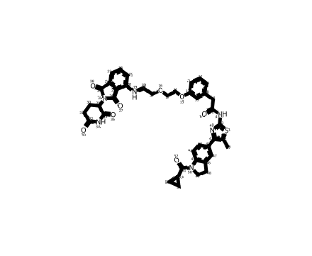 Cc1sc(NC(=O)Cc2cccc(OCCOCCNc3cccc4c3C(=O)N(C3CCC(=O)NC3=O)C4=O)c2)nc1-c1ccc2c(c1)CCN2C(=O)C1CC1